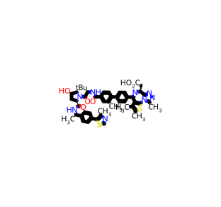 Cc1cc(C(=O)N[C@H](C(=O)N2C[C@H](O)C[C@H]2C(=O)N[C@@H](C)c2ccc(-c3scnc3C)cc2)C(C)(C)C)ccc1-c1ccc(C2=N[C@@H](CC(=O)O)c3nnc(C)n3-c3sc(C)c(C)c32)cc1